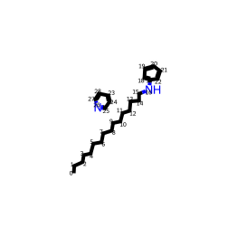 CCCCCCCCCCCCCCCCNc1ccccc1.c1ccncc1